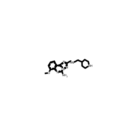 COc1cccc2c1nc(N)n1nc(CNCC3CCNCC3)nc21